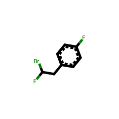 Fc1ccc(CC(F)Br)cc1